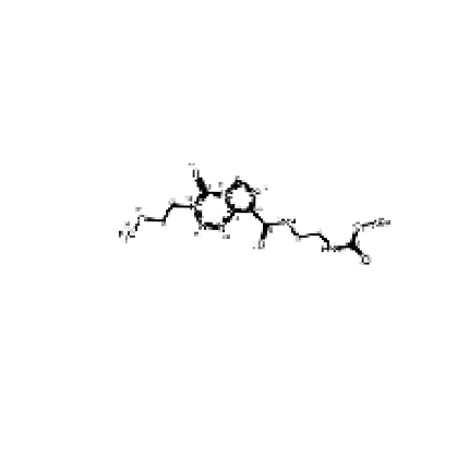 CC(C)(C)OC(=O)NCCNC(=O)c1ncn2c(=O)n(CCOC(F)(F)F)nnc12